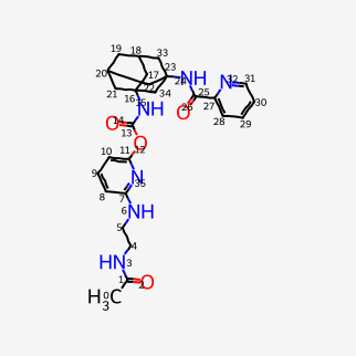 CC(=O)NCCNc1cccc(OC(=O)NC23CC4CC(C2)CC(NC(=O)c2ccccn2)(C4)C3)n1